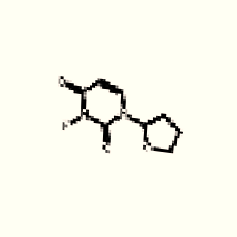 O=c1ccn(C2CCCO2)c(=O)n1F